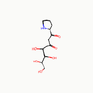 O=C(CC(=O)[C@@H]1CCCN1)C(O)C(O)C(O)CO